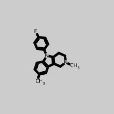 Cc1ccc2c(c1)c1c(n2-c2[c]cc(F)cc2)CCN(C)C1